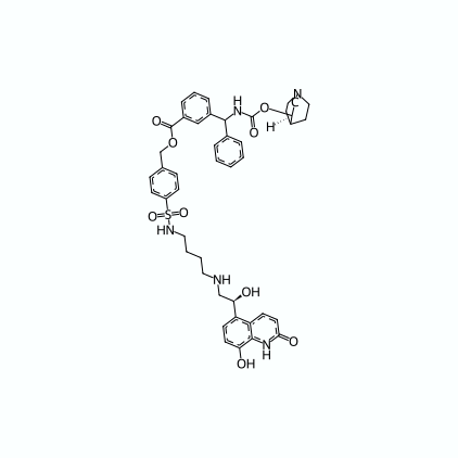 O=C(NC(c1ccccc1)c1cccc(C(=O)OCc2ccc(S(=O)(=O)NCCCCNC[C@@H](O)c3ccc(O)c4[nH]c(=O)ccc34)cc2)c1)O[C@H]1CN2CCC1CC2